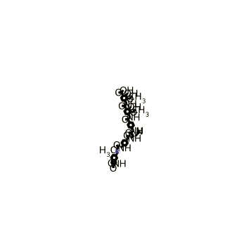 COc1c(NC(=O)c2ccc(NC(=O)c3ccc(NC(=O)[C@H](CC#N)NC(=O)c4ccc(NC(=O)/C(C)=C/c5ccc6oc(=O)[nH]c6c5)cc4)cc3)c(OC)c2O)ccc(C(=O)O)c1O